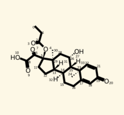 CCC(=O)O[C@]1(C(=O)C(=O)O)CC[C@H]2[C@@H]3CCC4=CC(=O)C=C[C@]4(C)[C@H]3[C@@H](O)C[C@@]21C